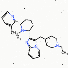 CCN1CCC(Cc2c([C@H]3CCC[C@@H](c4ncccc4C)N3C)nc3ccccn23)CC1